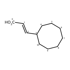 O=C(O)C=CC1CCCCCCC1